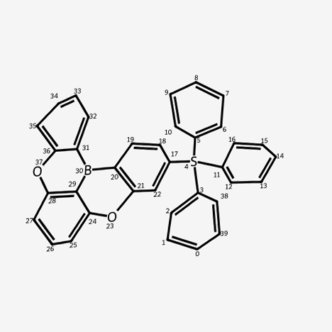 c1ccc(S(c2ccccc2)(c2ccccc2)c2ccc3c(c2)Oc2cccc4c2B3c2ccccc2O4)cc1